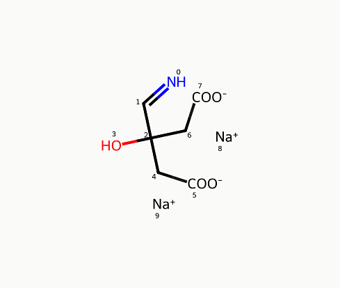 N=CC(O)(CC(=O)[O-])CC(=O)[O-].[Na+].[Na+]